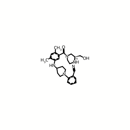 Cc1cc(C)c(C(=O)N2CCN[C@H](CO)C2)cc1NC1CCN(c2ccccc2C#N)CC1